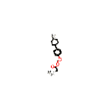 C=CC(=O)OCOc1ccc(C2CCC(CC)CC2)cc1